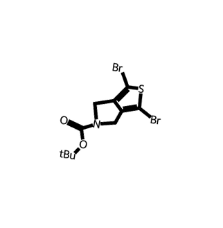 CC(C)(C)OC(=O)N1Cc2c(Br)sc(Br)c2C1